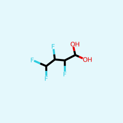 OC(O)C(F)C(F)C(F)F